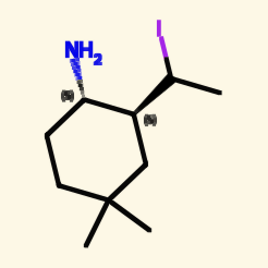 CC(I)[C@H]1CC(C)(C)CC[C@@H]1N